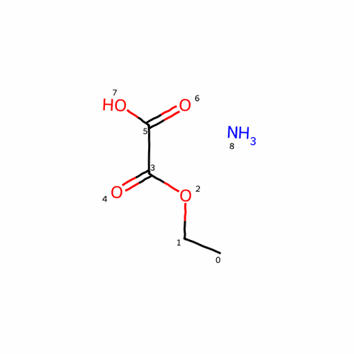 CCOC(=O)C(=O)O.N